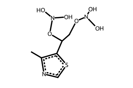 Cc1ncsc1C(CON(O)O)ON(O)O